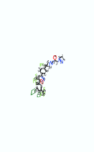 O=C(Cn1cccn1)N1CC(F)(c2ccc(C3=NOC(c4cc(Cl)c(Cl)c(C(F)(F)F)c4)(C(F)(F)F)C3)cc2)C1